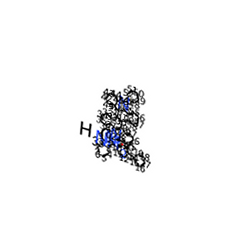 CN(/C(=C1/C=CC=CC1N)c1ccc(-c2ccccc2)cc1)n1c2ccccc2c2c3c(c4ccccc4c21)C1c2ccccc2N(c2ccccc2)C1c1ccccc1-3